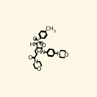 Cc1ccc(S(=O)(=O)NC(CCC(=O)N2CCOCC2)C(=O)Nc2ccc(N3CCOCC3)cc2)cc1